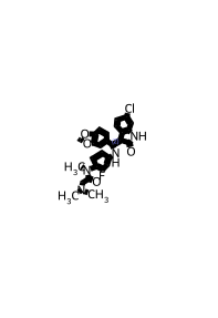 CN(C)CC(=O)N(C)c1ccc(N/C(=C2\C(=O)Nc3cc(Cl)ccc32)c2ccc3c(c2)OCO3)cc1F